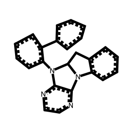 c1ccc(-c2ccccc2N2c3nccnc3N3c4ccccc4CC32)cc1